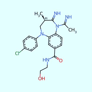 CC(=N)N1C(=N)[C@H](C)CN(c2ccc(Cl)cc2)c2cc(C(=O)NCCO)ccc21